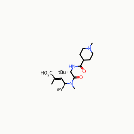 C/C(=C\[C@H](C(C)C)N(C)C(=O)[C@@H](NC(=O)C1CCN(C)CC1)C(C)(C)C)C(=O)O